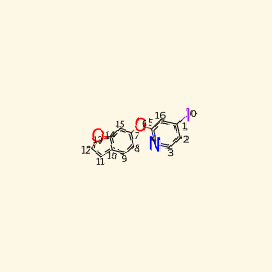 Ic1ccnc(Oc2ccc3ccoc3c2)c1